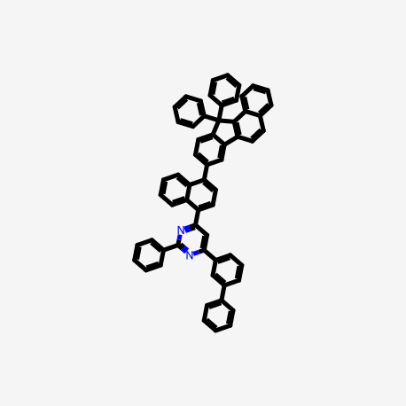 c1ccc(-c2cccc(-c3cc(-c4ccc(-c5ccc6c(c5)-c5ccc7ccccc7c5C6(c5ccccc5)c5ccccc5)c5ccccc45)nc(-c4ccccc4)n3)c2)cc1